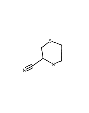 N#CC1CSCC[N]1